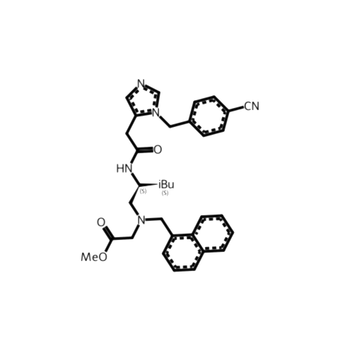 CC[C@H](C)[C@@H](CN(CC(=O)OC)Cc1cccc2ccccc12)NC(=O)Cc1cncn1Cc1ccc(C#N)cc1